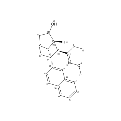 CCC(=NOC)[C@@H]1[C@@H]2CC(CC2O)C[C@H]1c1ccc2ccccc2c1